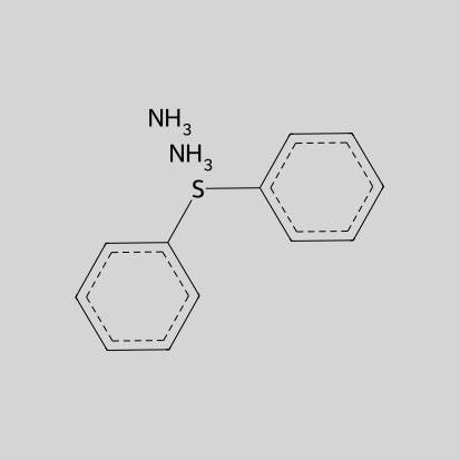 N.N.c1ccc(Sc2ccccc2)cc1